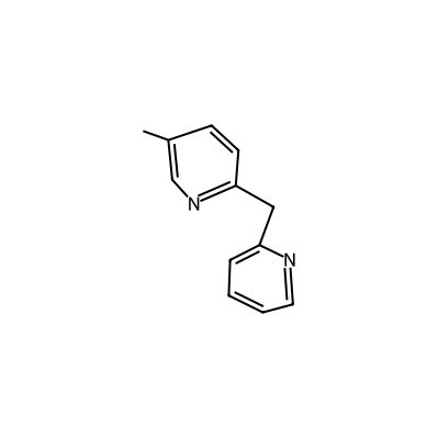 Cc1ccc(Cc2ccccn2)nc1